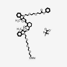 COCCOCCOCCOCCN1C(=C=CC2CCCC(/C=C/C3=[N+](CCOCCOCCC(=O)Oc4ccccc4)c4ccccc4C3(C)C)=C2Cl)C(C)(C)c2ccccc21.O=C([O-])C(F)(F)F